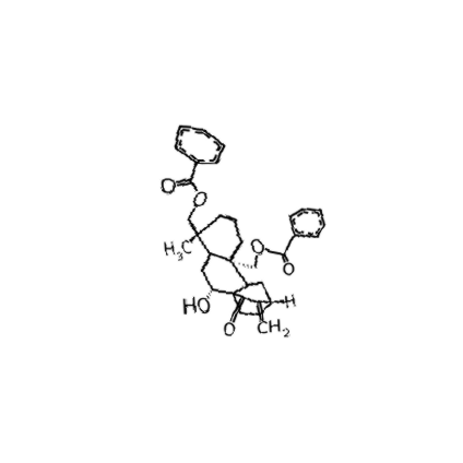 C=C1C(=O)C23CC[C@H]1CC2[C@]1(COC(=O)c2ccccc2)CCC[C@@](C)(COC(=O)c2ccccc2)C1C[C@H]3O